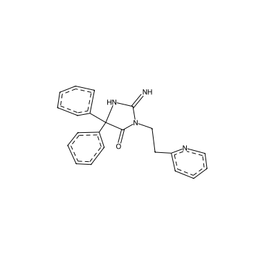 N=C1NC(c2ccccc2)(c2ccccc2)C(=O)N1CCc1ccccn1